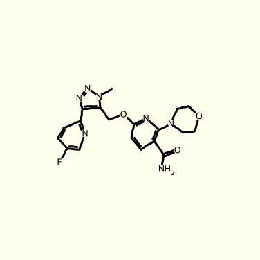 Cn1nnc(-c2ccc(F)cn2)c1COc1ccc(C(N)=O)c(N2CCOCC2)n1